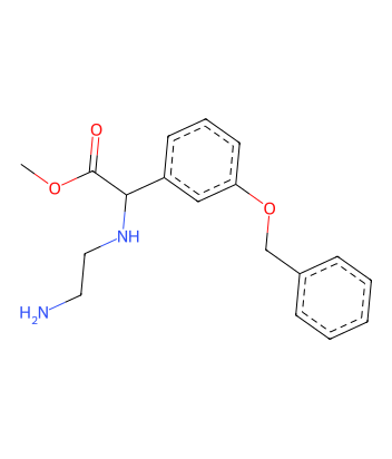 COC(=O)C(NCCN)c1cccc(OCc2ccccc2)c1